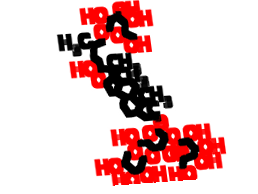 CC(CCC1(O)OC2CC3C4CCC5CC(OC6OC(CO)C(OC7OCC(O)C(O)C7O)C(O)C6OC6OC(CO)C(O)C(O)C6O)CCC5(C)C4CCC3(C)C2C1C)COC1OC(CO)C(O)C(O)C1O